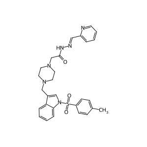 Cc1ccc(S(=O)(=O)n2cc(CN3CCN(CC(=O)NN=Cc4ccccn4)CC3)c3ccccc32)cc1